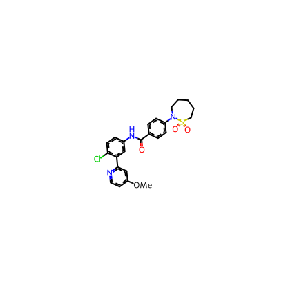 COc1ccnc(-c2cc(NC(=O)c3ccc(N4CCCCCS4(=O)=O)cc3)ccc2Cl)c1